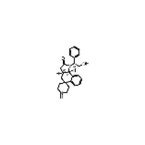 O=C1C[C@H]2CC3(CCNCC3)c3ccccc3[C@H]2N1[C@H](CO)c1ccccc1